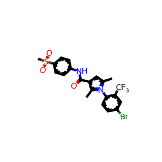 Cc1cc(C(=O)Nc2ccc(S(C)(=O)=O)cc2)c(C)n1-c1ccc(Br)cc1C(F)(F)F